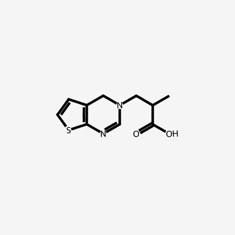 CC(CN1C=Nc2sccc2C1)C(=O)O